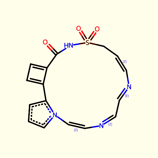 O=C1NS(=O)(=O)C\C=C/N=C/C=N\C=C/n2cccc2C2=CC=C12